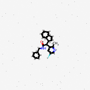 Cc1ncc(F)cc1C(C(=O)NCc1ccccc1)C1C=Cc2ccccc21